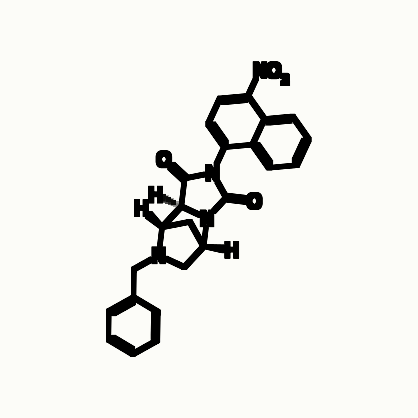 O=C1[C@@H]2[C@@H]3C[C@@H](CN3Cc3ccccc3)N2C(=O)N1c1ccc([N+](=O)[O-])c2ccccc12